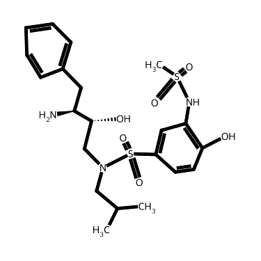 CC(C)CN(C[C@@H](O)[C@@H](N)Cc1ccccc1)S(=O)(=O)c1ccc(O)c(NS(C)(=O)=O)c1